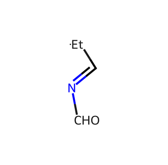 C[CH]C=NC=O